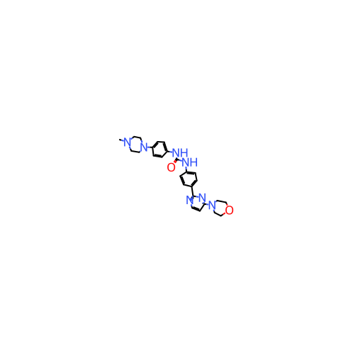 CN1CCN(c2ccc(NC(=O)Nc3ccc(-c4nccc(N5CCOCC5)n4)cc3)cc2)CC1